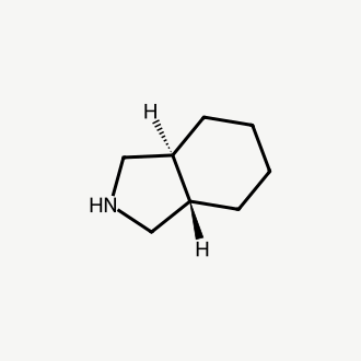 C1CC[C@@H]2CNC[C@H]2C1